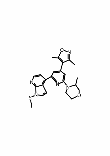 Cc1noc(C)c1-c1cc(-c2ccnc3c2ccn3SI)nc(N2CCOCC2C)c1